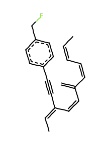 C=C(/C=C\C=C/C)/C=C\C(C#Cc1ccc(CF)cc1)=C/C